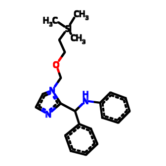 C[Si](C)(C)CCOCn1ccnc1C(Nc1ccccc1)c1ccccc1